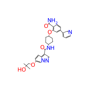 CC(C)(O)COc1ccc2c(C(=O)NC3CCC(Oc4cc(-c5cccnc5)ccc4C(N)=O)CC3)cnn2c1